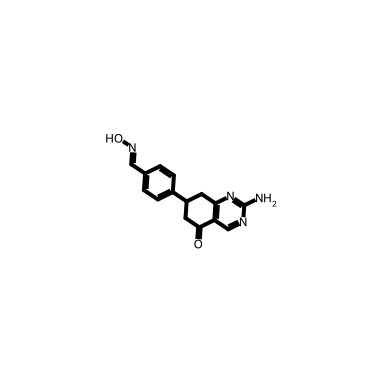 Nc1ncc2c(n1)CC(c1ccc(C=NO)cc1)CC2=O